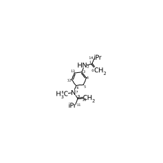 C=C(NC1=CCC(N(C)C(=C)C(C)C)C=C1)C(C)C